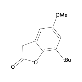 COc1cc2c(c(C(C)(C)C)c1)OC(=O)C2